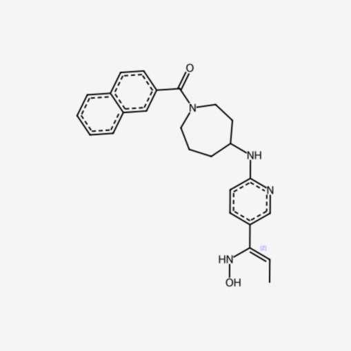 C/C=C(\NO)c1ccc(NC2CCCN(C(=O)c3ccc4ccccc4c3)CC2)nc1